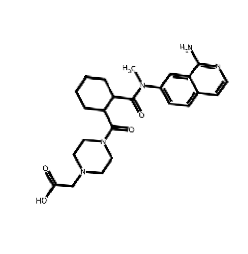 CN(C(=O)C1CCCCC1C(=O)N1CCN(CC(=O)O)CC1)c1ccc2ccnc(N)c2c1